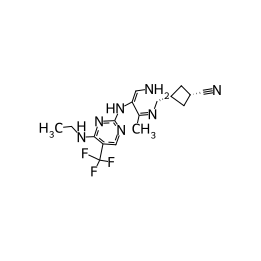 CCNc1nc(NC(=C/N)/C(C)=N\C[C@H]2C[C@@H](C#N)C2)ncc1C(F)(F)F